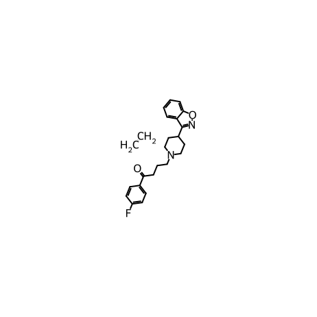 C=C.O=C(CCCN1CCC(c2noc3ccccc23)CC1)c1ccc(F)cc1